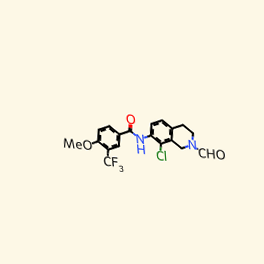 COc1ccc(C(=O)Nc2ccc3c(c2Cl)CN(C=O)CC3)cc1C(F)(F)F